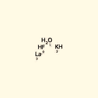 F.O.[KH].[La]